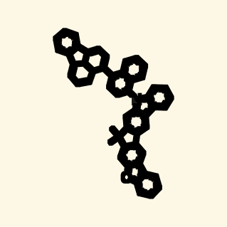 CC1(C)c2cc3oc4ccccc4c3cc2-c2cc3c4ccccc4n(-c4ccc(C5=CC=C6c7ccccc7C7=CC=CC5C76)c5ccccc45)c3cc21